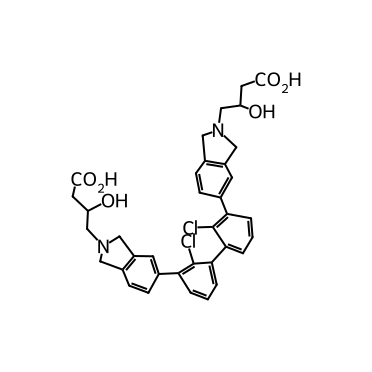 O=C(O)CC(O)CN1Cc2ccc(-c3cccc(-c4cccc(-c5ccc6c(c5)CN(CC(O)CC(=O)O)C6)c4Cl)c3Cl)cc2C1